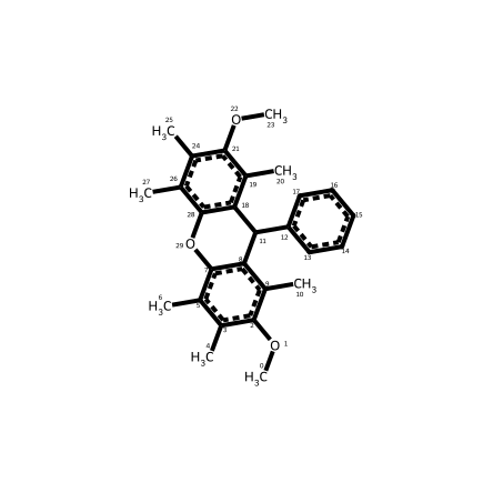 COc1c(C)c(C)c2c(c1C)C(c1ccccc1)c1c(C)c(OC)c(C)c(C)c1O2